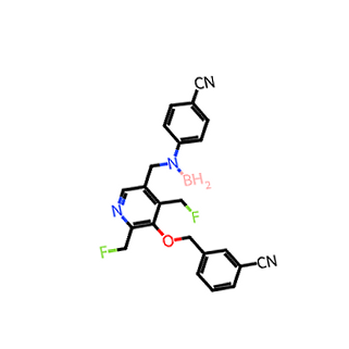 BN(Cc1cnc(CF)c(OCc2cccc(C#N)c2)c1CF)c1ccc(C#N)cc1